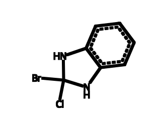 ClC1(Br)Nc2ccccc2N1